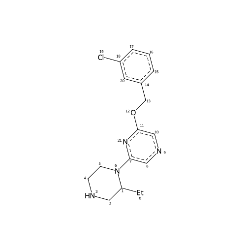 CCC1CNCCN1c1cncc(OCc2cccc(Cl)c2)n1